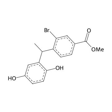 COC(=O)c1ccc(C(C)c2cc(O)ccc2O)c(Br)c1